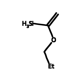 C=C([SiH3])OCCC